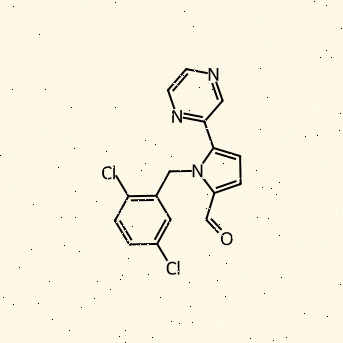 O=Cc1ccc(-c2cnccn2)n1Cc1cc(Cl)ccc1Cl